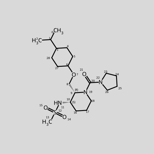 CC(C)C1CCC(OC[C@H]2[C@@H](NS(C)(=O)=O)CCCN2C(=O)N2CCCC2)CC1